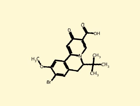 COc1cc2c(cc1Br)CC(C(C)(C)C)n1cc(C(=O)O)c(=O)cc1-2